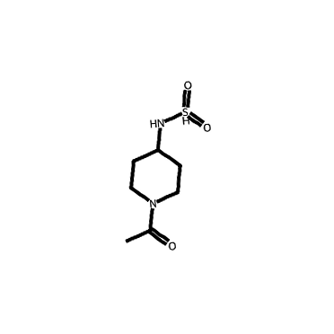 CC(=O)N1CCC(N[SH](=O)=O)CC1